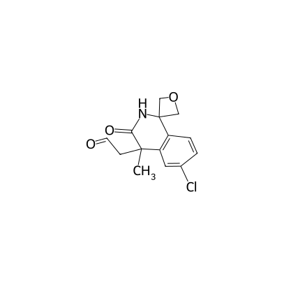 CC1(CC=O)C(=O)NC2(COC2)c2ccc(Cl)cc21